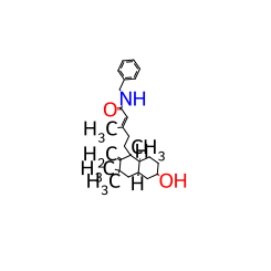 C=C1C(C)(C)C[C@H]2C[C@H](O)CC[C@@H]2[C@@]1(C)CC/C(C)=C/C(=O)NCc1ccccc1